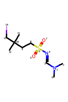 CN(C)C=NS(=O)(=O)CCC(C)(C)CI